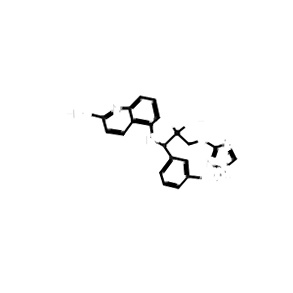 COc1cccc(C(Nc2cccc3nc(C)ccc23)C(O)(CSc2nc[nH]n2)C(F)(F)F)c1